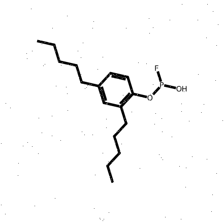 CCCCCc1ccc(OP(O)F)c(CCCCC)c1